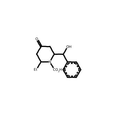 CCC1CC(=O)CC(C(O)c2ccccc2)N1C(=O)O